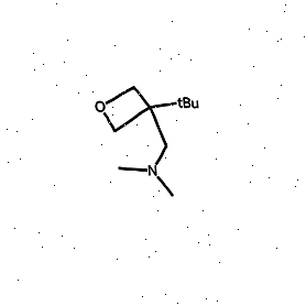 CN(C)CC1(C(C)(C)C)COC1